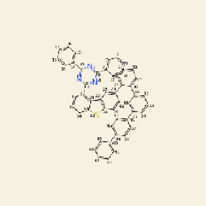 C1=CC(c2nc(-c3ccccc3)nc(-c3ccccc3)n2)=C2c3cc(-c4ccccc4-c4cccc(-c5ccc(-c6ccccc6)cc5)c4)ccc3SC2C1